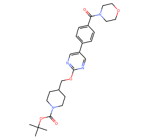 CC(C)(C)OC(=O)N1CCC(COc2ncc(-c3ccc(C(=O)N4CCOCC4)cc3)cn2)CC1